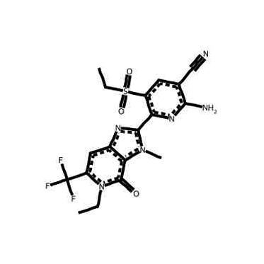 CCn1c(C(F)(F)F)cc2nc(-c3nc(N)c(C#N)cc3S(=O)(=O)CC)n(C)c2c1=O